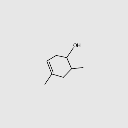 CC1=CCC(O)C(C)C1